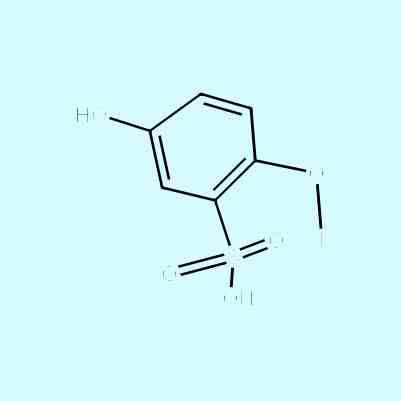 O=S(=O)(O)c1cc(O)ccc1OI